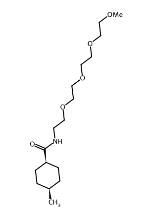 COCCOCCOCCOCCNC(=O)[C@H]1CC[C@@H](C)CC1